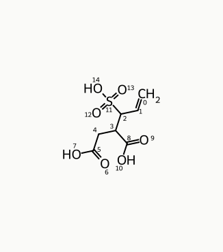 C=CC(C(CC(=O)O)C(=O)O)S(=O)(=O)O